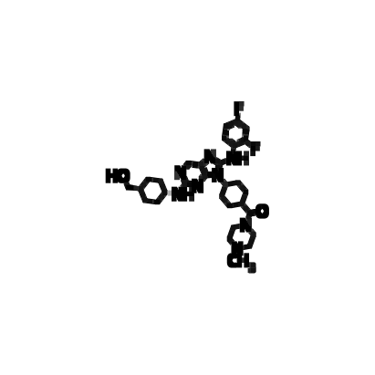 CN1CCN(C(=O)C2CCC(n3c(Nc4ccc(F)cc4F)nc4cnc(N[C@H]5CC[C@H](CO)CC5)nc43)CC2)CC1